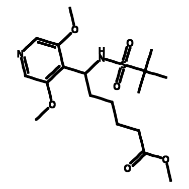 COC(=O)CCCCC(NS(=O)(=O)C(C)(C)C)c1c(OC)cncc1OC